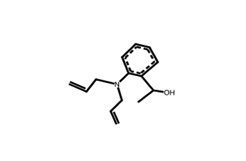 C=CCN(CC=C)c1ccccc1C(C)O